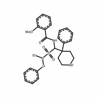 CCN(Oc1ccccc1)S(=O)(=O)C(NC(=O)c1ccccc1OC)C1(c2ccccc2)CCNCC1